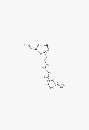 CCCC1CCCC(CCCCCCC2CCCC(C=O)C2)C1